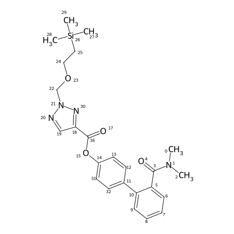 CN(C)C(=O)c1ccccc1-c1ccc(OC(=O)c2cnn(COCC[Si](C)(C)C)n2)cc1